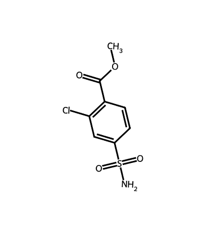 COC(=O)c1ccc(S(N)(=O)=O)cc1Cl